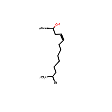 CCCCCC[C@@H](O)C/C=C\CCCCCCC(CC)C(=O)O